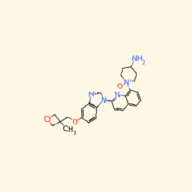 CC1(COc2ccc3c(c2)ncn3-c2ccc3cccc([N+]4([O-])CCC(N)CC4)c3n2)COC1